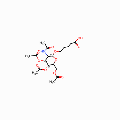 CC(=O)NC1[C@H](OCCCCC(=O)O)OC(COC(C)=O)[C@H](OC(C)=O)[C@@H]1OC(C)=O